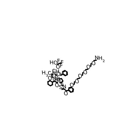 C[C@@H](C(=O)N[C@H](C(=O)N1CCC[C@H]1c1nc(C(=O)c2cccc(OCCOCCOCCOCCOCCOCCN)c2)cs1)C1CCCCC1)N(C)C(=O)OCc1ccccc1.O=C(O)C(F)(F)F